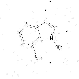 Cc1cccc2ccn(C(C)C)c12